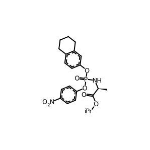 CC(C)OC(=O)[C@H](C)NP(=O)(Oc1ccc([N+](=O)[O-])cc1)Oc1ccc2c(c1)CCCC2